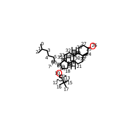 CC(C)CCC[C@@H](C)[C@H]1[C@@H](O[Si](C)(C)C(C)(C)C)C[C@H]2[C@@H]3CCC4=CC(=O)CC[C@]4(C)[C@H]3CC[C@]12C